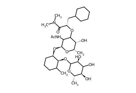 CC(=O)NC1C(O[C@@H](CC2CCCCC2)C(=O)N(C)C)[C@H](O)[C@H](C)O[C@H]1O[C@@H]1CCCC(C)[C@@H]1OC1O[C@@H](C)[C@H](O)C(O)[C@@H]1O